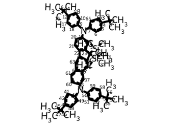 CC(C)(C)c1ccc(N(c2ccc(C(C)(C)C)cc2)c2ccc3c(c2)C([Si](C)(C)C)([Si](C)(C)C)c2cc4cc(N(c5ccc(C(C)(C)C)cc5)c5ccc(C(C)(C)C)cc5)ccc4cc2-3)cc1